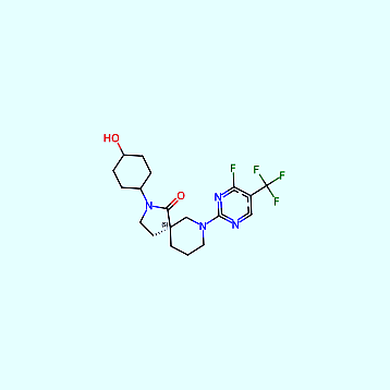 O=C1N(C2CCC(O)CC2)CC[C@]12CCCN(c1ncc(C(F)(F)F)c(F)n1)C2